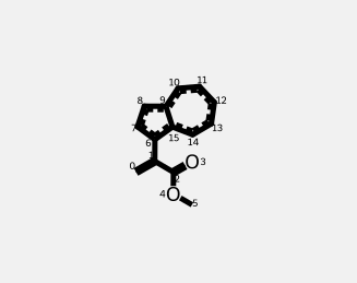 C=C(C(=O)OC)c1ccc2cccccc1-2